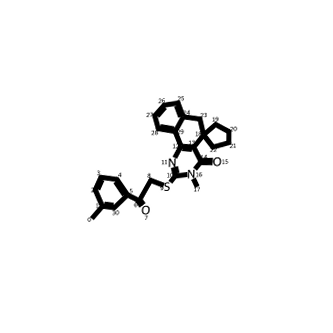 Cc1cccc(C(=O)CSc2nc3c(c(=O)n2C)C2(CCCC2)Cc2ccccc2-3)c1